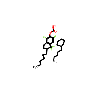 CCCCCC1CCCCC1.CCCCCCC1CCc2c(cc(F)c(OC(=O)O)c2F)C1(F)F